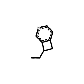 CCC1Cc2ccncc21